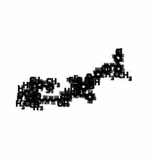 Cc1ncsc1-c1ccc([C@H](C)NC(=O)[C@@H]2C[C@@H](O)CN2C(=O)[C@@H](NC(=O)CCCCCCC(=O)N2C[C@@H]3C[C@H]2CN3CC[C@H](CSc2ccccc2)Nc2ccc(S(=O)(=O)NC(=O)c3ccc(N4CCN(CC5=C(c6ccc(Cl)cc6)CCC(C)(C)C5)CC4)cc3)cc2S(=O)(=O)C(F)(F)F)C(C)(C)C)cc1